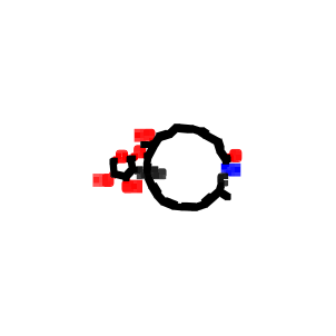 CNC1C(OC2\C=C/C=C\C=C/C=C\C=C/C(C)CNC(=O)/C=C/C=C\C=C/C=C/C2(C)O)OCC(O)C1O